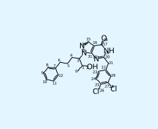 CC(O)C(CCCc1ccccc1)n1ncc2c(=O)[nH]c(Cc3ccc(Cl)c(Cl)c3)nc21